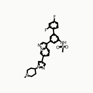 CN1CCC(n2cc(-c3ccc4c(-c5cc(NS(C)(=O)=O)cc(-c6ccc(F)cc6F)c5)cnn4c3)cn2)CC1